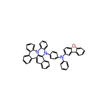 c1ccc(N(c2ccc(N3c4ccccc4N4c5ccccc5-c5ccccc5-c5cc6ccccc6c3c54)cc2)c2ccc3oc4ccccc4c3c2)cc1